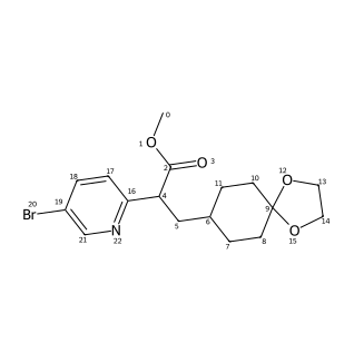 COC(=O)C(CC1CCC2(CC1)OCCO2)c1ccc(Br)cn1